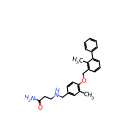 Cc1cc(CNCCC(N)=O)ccc1OCc1cccc(-c2ccccc2)c1C